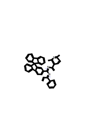 C=C/C(=N\C(=N/C(=C)c1ccc(C)nc1C)c1ccc2c(c1)C1(c3ccccc3-c3ccccc31)c1ccccc1-2)c1ccccc1